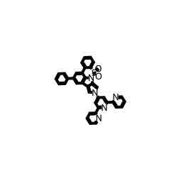 O=S1(=O)c2ccccc2-c2cc(-c3ccccc3)cc3c4cn(-c5cc(-c6ccccn6)nc(-c6ccccn6)c5)cc4n1c23